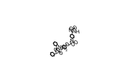 NC(Cc1ccc(OCC2CN(c3ccc(-c4noc(=O)[nH]4)cc3)C(=O)O2)cc1)(C(=O)OCc1ccccc1)C(=O)c1ccccc1